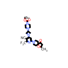 CC1CC(=O)C2(CCN(c3cc(N4CC(N5CCN(C(=O)OC(C)(C)C)CC5)C4)c(C#N)c(C(F)(F)F)n3)CC2)O1